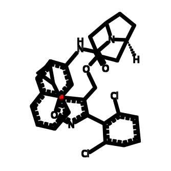 O=C(Nc1ccc2ccccc2c1)N1C2CC[C@H]1CC(OCc1c(-c3c(Cl)cccc3Cl)noc1C1CC1)C2